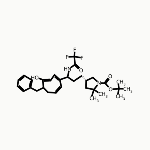 CC(C)(C)OC(=O)N1C[C@@H](CCC(NC(=O)C(F)(F)F)C2=C/C=C(\O)C(Cc3ccccc3)C/C=C\2)CC1(C)C